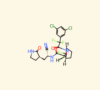 N#C[C@@H](C[C@H]1CCNC1=O)NC(=O)[C@H]1[C@H]2CC[C@H](CC2(F)F)N1C(=O)C(F)(F)c1cc(Cl)cc(Cl)c1